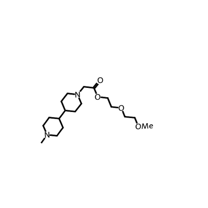 COCCOCCOC(=O)CN1CCC(C2CCN(C)CC2)CC1